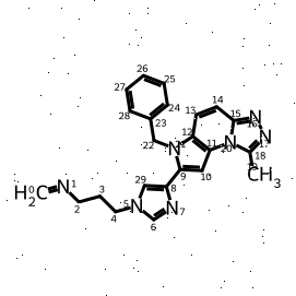 C=NCCCn1cnc(-c2cc3c(ccc4nnc(C)n43)n2Cc2ccccc2)c1